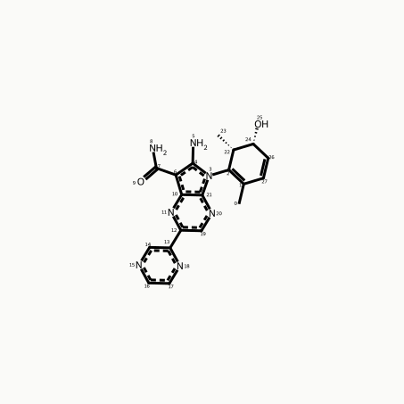 CC1=C(n2c(N)c(C(N)=O)c3nc(-c4cnccn4)cnc32)[C@H](C)[C@H](O)C=C1